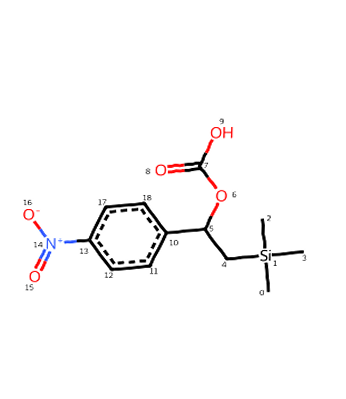 C[Si](C)(C)CC(OC(=O)O)c1ccc([N+](=O)[O-])cc1